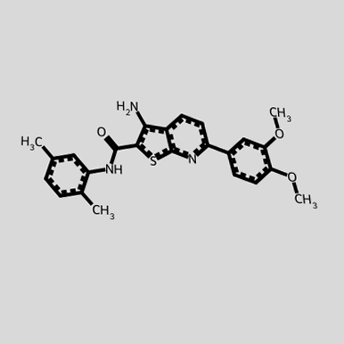 COc1ccc(-c2ccc3c(N)c(C(=O)Nc4cc(C)ccc4C)sc3n2)cc1OC